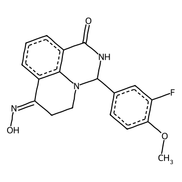 COc1ccc(C2NC(=O)c3cccc4c3N2CCC4=NO)cc1F